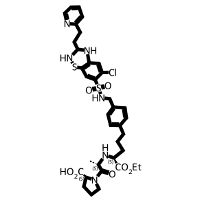 CCOC(=O)[C@H](CCCc1ccc(CNS(=O)(=O)c2cc3c(cc2Cl)NC(CCc2ccccn2)NS3)cc1)N[C@@H](C)C(=O)N1CCC[C@H]1C(=O)O